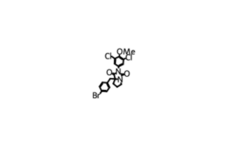 COc1c(Cl)cc(N2C(=O)N3CCCC3(Cc3ccc(Br)cc3)C2=O)cc1Cl